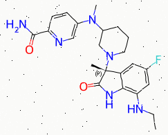 CCNc1cc(F)cc2c1NC(=O)[C@]2(C)N1CCCC(N(C)c2ccc(C(N)=O)nc2)C1